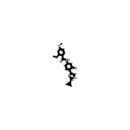 CCc1cc(OC)ccc1C(=O)Nc1ccc(-c2csc(C3CC3)n2)c(Cl)c1